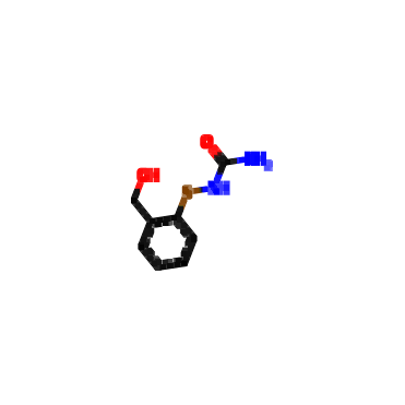 NC(=O)NSc1ccccc1CO